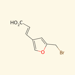 O=C(O)C=Cc1coc(CBr)c1